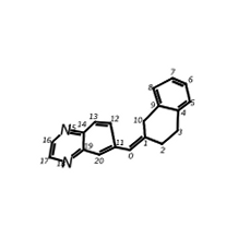 C(=C1CCc2ccccc2C1)c1ccc2nccnc2c1